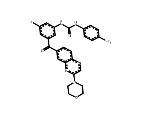 O=C(Nc1ccc(C(F)(F)F)cc1)Nc1cc(F)cc(C(=O)c2ccc3ncc(N4CCOCC4)nc3c2)c1